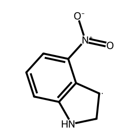 O=[N+]([O-])c1cccc2c1[CH]CN2